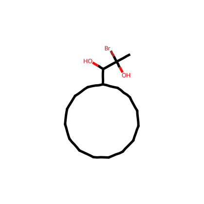 CC(O)(Br)C(O)C1CCCCCCCCCCCCCC1